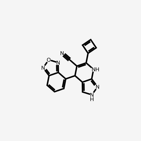 N#CC1=C(C2=CC=C2)Nc2n[nH]cc2C1c1cccc2nonc12